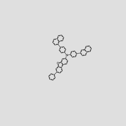 c1ccc(-c2ccc3c(c2)oc2cc(N(c4ccc(-c5ccc6ccccc6c5)cc4)c4ccc(-c5cccc6ccccc56)cc4)ccc23)cc1